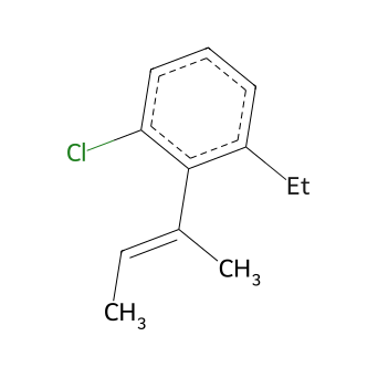 C/C=C(\C)c1c(Cl)cccc1CC